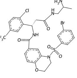 CC(N)CNC(=O)C[C@H](NC(=O)c1ccc2c(c1)N(S(=O)(=O)c1cccc(Br)c1)CCO2)c1cc(C(F)(F)F)ccc1Cl